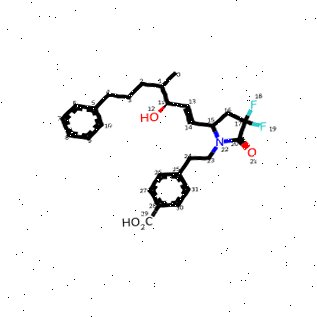 CC(CCCc1ccccc1)[C@H](O)/C=C/C1CC(F)(F)C(=O)N1CCc1ccc(C(=O)O)cc1